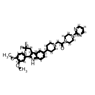 COc1ccc(-c2[nH]c3ccc(C4CCN(CC(=O)N5CCN(c6ncccn6)CC5)CC4)cc3c2CC(F)(F)F)cc1OC